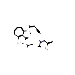 C=C(OCC(C)N(CC)C(=O)C1=C(CC)CC=CC=C1N(C)/C(=C\C#CCC)CC)/C(F)=C\C(=C/C)C(F)(F)F